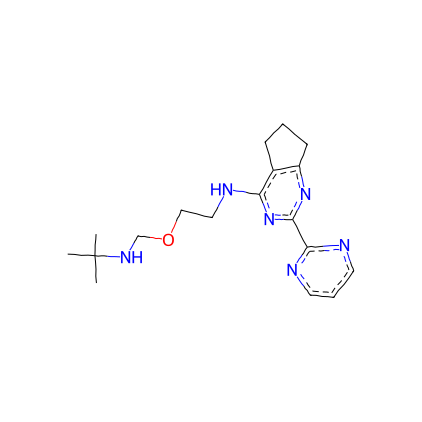 CC(C)(C)NCOCCNc1nc(-c2ncccn2)nc2c1CCC2